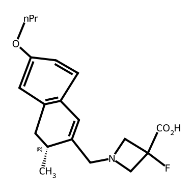 CCCOc1ccc2c(c1)C[C@@H](C)C(CN1CC(F)(C(=O)O)C1)=C2